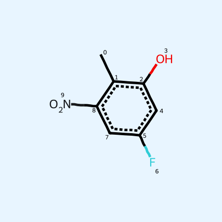 Cc1c(O)cc(F)cc1[N+](=O)[O-]